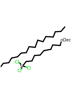 CCCCCCCCCCCCCCCC.CCCCCCCCCCCCCCCCCC[Si](Cl)(Cl)Cl